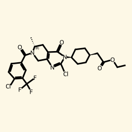 CCOC(=O)C[C@H]1CC[C@@H](n2c(Cl)nc3c(c2=O)C[C@@H](C)N(C(=O)c2ccc(Cl)c(C(F)(F)F)c2)C3)CC1